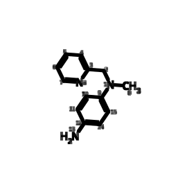 CN(Cc1ccccn1)c1ccc(N)cc1